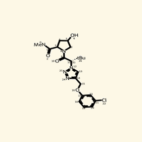 CNC(=O)C1CC(O)CN1C(=O)[C@@H](n1cc(COc2cccc(Cl)c2)nn1)C(C)(C)C